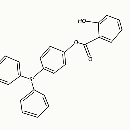 O=C(Oc1ccc([S+](c2ccccc2)c2ccccc2)cc1)c1ccccc1O